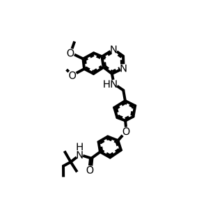 CCC(C)(C)NC(=O)c1ccc(Oc2ccc(CNc3ncnc4cc(OC)c(OC)cc34)cc2)cc1